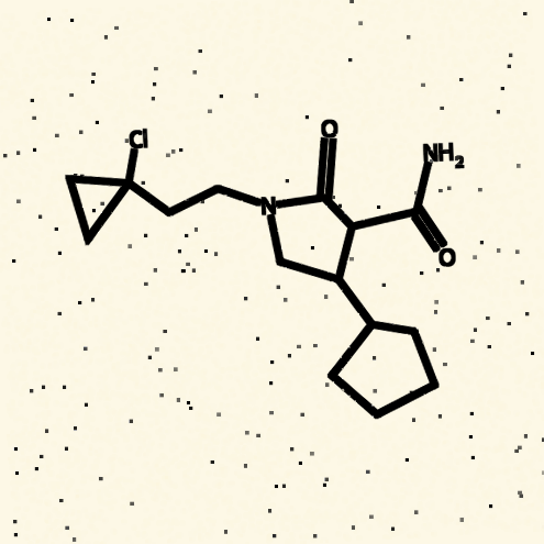 NC(=O)C1C(=O)N(CCC2(Cl)CC2)CC1C1CCCC1